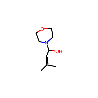 CC(C)=CC(O)N1CCOCC1